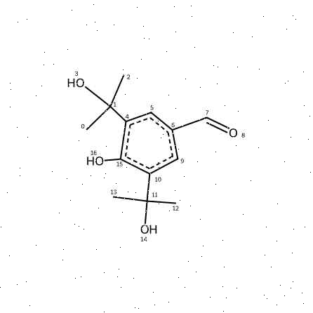 CC(C)(O)c1cc(C=O)cc(C(C)(C)O)c1O